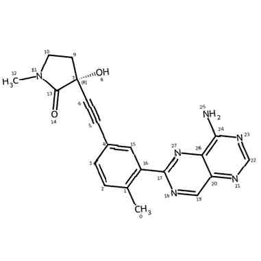 Cc1ccc(C#C[C@]2(O)CCN(C)C2=O)cc1-c1ncc2ncnc(N)c2n1